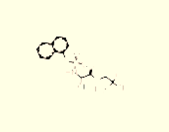 C[C@@H](NP(=O)(O)Oc1cccc2ccccc12)C(=O)OCC(C)(C)C